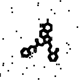 C[C@H]1CCc2c(ccc3c2nc(CCn2ccccc2=O)n3CC(=O)NCc2ccncn2)N1